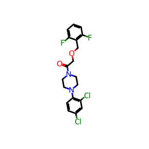 O=C(COCc1c(F)cccc1F)N1CCN(c2ccc(Cl)cc2Cl)CC1